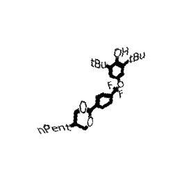 CCCCCC1COC(c2ccc(C(F)(F)Oc3cc(C(C)(C)C)c(O)c(C(C)(C)C)c3)cc2)OC1